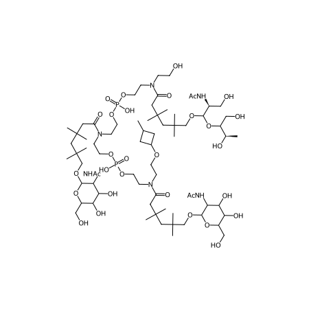 CC(=O)NC1C(OCC(C)(C)CC(C)(C)CC(=O)N(CCOC2CC(C)C2)CCOP(=O)(O)OCCN(CCOP(=O)(O)OCCN(CCO)C(=O)CC(C)(C)CC(C)(C)COC(OC(CO)[C@@H](C)O)[C@H](CO)NC(C)=O)C(=O)CC(C)(C)CC(C)(C)COC2OC(CO)C(O)C(O)C2NC(C)=O)OC(CO)C(O)C1O